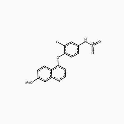 COc1ccc2c(Oc3ccc(N[SH](=O)=O)cc3F)ccnc2c1